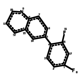 Fc1c[c]c(-c2ccc3ncccc3c2)c(F)c1